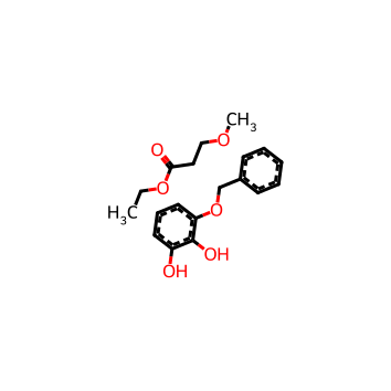 CCOC(=O)CCOC.Oc1cccc(OCc2ccccc2)c1O